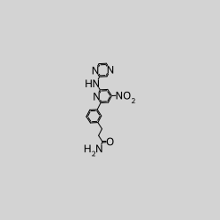 NC(=O)CCc1cccc(-c2cc([N+](=O)[O-])cc(Nc3cnccn3)n2)c1